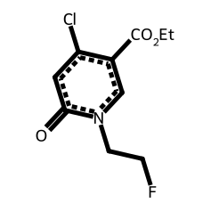 CCOC(=O)c1cn(CCF)c(=O)cc1Cl